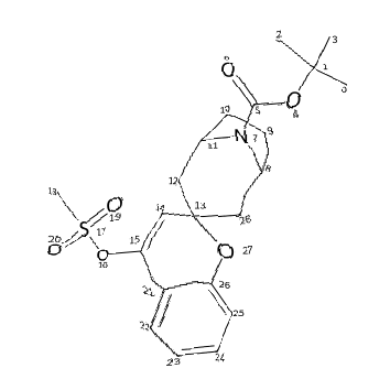 CC(C)(C)OC(=O)N1C2CCC1CC1(C=C(OS(C)(=O)=O)c3ccccc3O1)C2